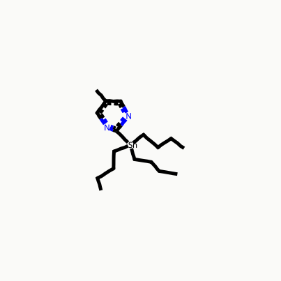 CCC[CH2][Sn]([CH2]CCC)([CH2]CCC)[c]1ncc(C)cn1